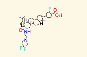 C=C(C)[C@@H]1CC[C@]2(C(=O)NCCN3CCC(F)(F)CC3)CC[C@]3(C)[C@H](CCC4[C@@]5(C)CC=C(c6ccc(C(=O)O)c(F)c6)C(C)(C)[C@@H]5CC[C@]43C)[C@@H]12